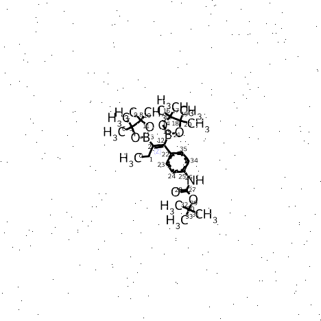 CC/C(B1OC(C)(C)C(C)(C)O1)=C(/B1OC(C)(C)C(C)(C)O1)c1ccc(NC(=O)OC(C)(C)C)cc1